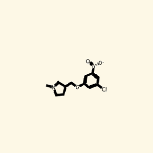 CN1CCC(COc2cc(Cl)cc([N+](=O)[O-])c2)C1